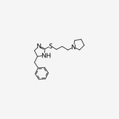 c1ccc(CC2CN=C(SCCCN3CCCC3)N2)cc1